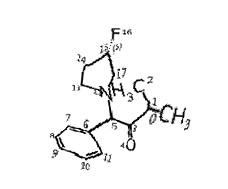 CC(C)C(=O)C(c1ccccc1)N1CC[C@H](F)C1